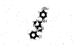 CC(C)(C)c1ccc(Nc2ncnc3c2ncn3-c2ccccc2Cl)cc1